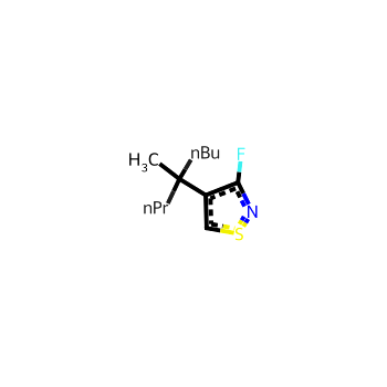 CCCCC(C)(CCC)c1csnc1F